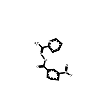 CC(=NNC(=O)c1cccc([N+](=O)[O-])c1)c1ccccn1